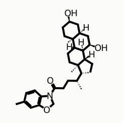 Cc1ccc2c(c1)OCN2C(=O)CC[C@@H](C)[C@H]1CC[C@H]2[C@@H]3[C@H](O)C[C@@H]4C[C@H](O)CC[C@]4(C)[C@H]3CC[C@]12C